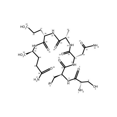 CC(C)C[C@H](NC(=O)[C@@H](N)CO)C(=O)N[C@@H](CC(N)=O)C(=O)N[C@@H](C)C(=O)N[C@@H](CCC(=O)O)C(=O)N[C@@H](CCC(N)=O)C(=O)O